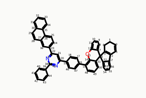 C1=CC2=C(CC1)C1(c3ccccc3Oc3c(-c4ccc(-c5cc(-c6ccc7c(ccc8ccccc87)c6)nc(-c6ccccc6)n5)cc4)cccc31)c1ccccc12